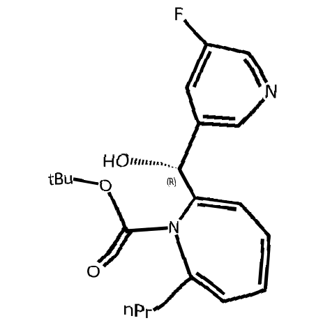 CCCC1=CC=CC=C([C@H](O)c2cncc(F)c2)N1C(=O)OC(C)(C)C